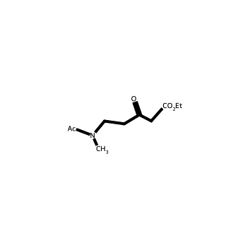 CCOC(=O)CC(=O)CCN(C)C(C)=O